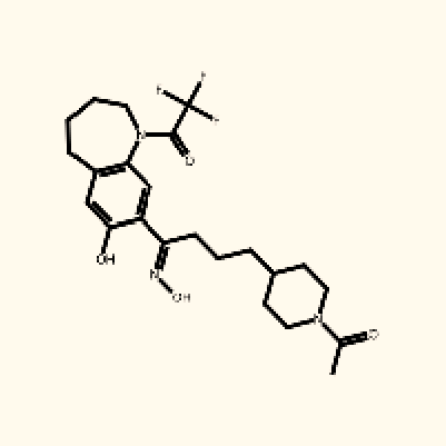 CC(=O)N1CCC(CCC/C(=N\O)c2cc3c(cc2O)CCCCN3C(=O)C(F)(F)F)CC1